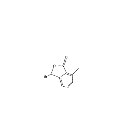 Cc1cccc2c1C(=O)OC2Br